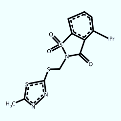 Cc1nnc(SCN2C(=O)c3c(C(C)C)cccc3S2(=O)=O)s1